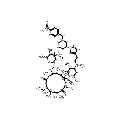 CC[C@H]1OC(=O)[C@H](C)[C@@H](OC[C@H]2C[C@@](C)(OC)[C@@H](O)[C@H](C)O2)[C@H](C)[C@@H](O[C@@H]2O[C@H](C)C[C@H](N(C)CCc3cn([C@@H]4CCCN(Cc5ccc([N+](=O)[O-])cc5)C4)nn3)[C@H]2O)[C@](C)(OC)C[C@@H](C)C(=O)[C@H](C)[C@@H](O)[C@]1(C)O